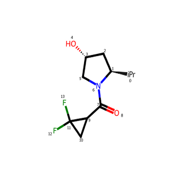 CC(C)[C@@H]1C[C@@H](O)CN1C(=O)C1CC1(F)F